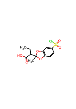 CCC(C(=O)O)C1(C)Oc2ccc(S(=O)(=O)Cl)cc2O1